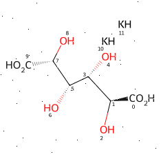 O=C(O)[C@@H](O)[C@@H](O)[C@H](O)[C@@H](O)C(=O)O.[KH].[KH]